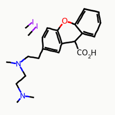 CI.CI.CN(C)CCN(C)CCc1ccc2c(c1)C(C(=O)O)c1ccccc1O2